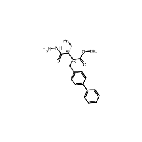 CC(C)C[C@@H](C(=O)NN)[C@H](Cc1ccc(-c2ccccc2)cc1)C(=O)OC(C)(C)C